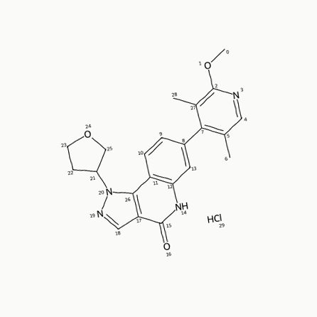 COc1ncc(C)c(-c2ccc3c(c2)[nH]c(=O)c2cnn(C4CCOC4)c23)c1C.Cl